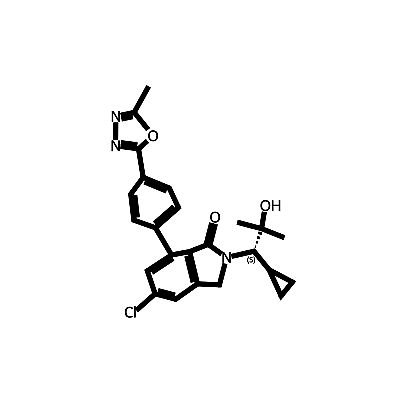 Cc1nnc(-c2ccc(-c3cc(Cl)cc4c3C(=O)N([C@@H](C3CC3)C(C)(C)O)C4)cc2)o1